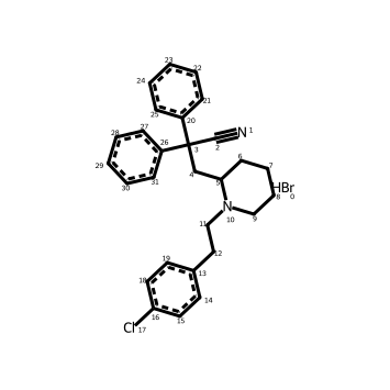 Br.N#CC(CC1CCCCN1CCc1ccc(Cl)cc1)(c1ccccc1)c1ccccc1